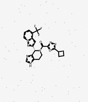 O=C(c1nnc(C2CCC2)o1)N1CCc2[nH]cnc2[C@@H]1c1cc2c(C(F)(F)F)cccn2n1